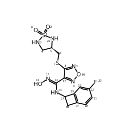 O=S1(=O)NC[C@H](CSc2nonc2/C(=N/O)NC2Cc3ccc(F)cc32)N1